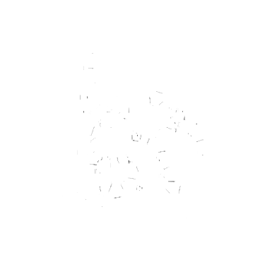 COCCOc1ccc(NC(=O)NC(=O)C[C@@H]2CC(=O)[C@H](NC(=O)[C@@H](CC(C)C)N(C)C(=O)OC(C)(C)C)[C@H](O)c3ccc(c(Cl)c3)Oc3cc4cc(c3O[C@@H]3O[C@H](CCC(=O)OC(C)(C)C)[C@@H](O)[C@H](O)[C@H]3O)Oc3ccc(cc3Cl)[C@@H](O)[C@@H]3NC(=O)[C@H](CC(=O)[C@@H]4NC2=O)c2ccc(O)c(c2)-c2c(O)cc(O)cc2[C@@H](C(=O)CC2C4CC5CC(C4)CC2C5)NC3=O)cc1